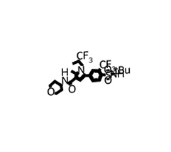 Cc1c(C(=O)NC2CCOCC2)cc(-c2ccc(S(=O)(=O)NC(C)(C)C)c(C(F)(F)F)c2)n1CC(C)C(F)(F)F